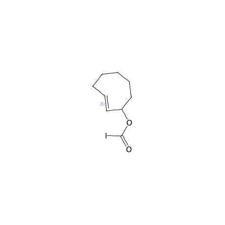 O=C(I)OC1/C=C/CCCCC1